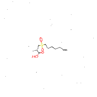 C=CCCCCCS(=O)(=O)CC(C)C(=O)O